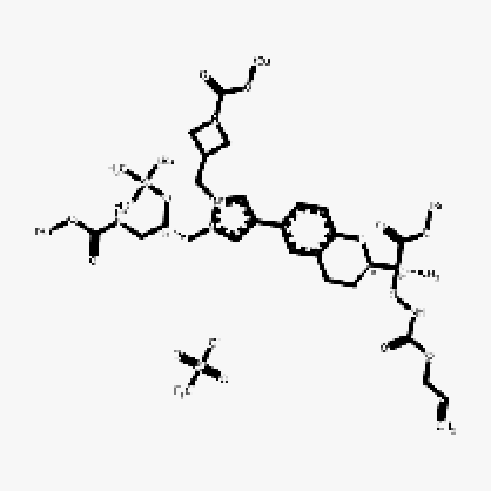 C=CCOC(=O)NO[C@](C)(C(=O)OC(C)(C)C)[C@H]1CCc2cc(-c3cn(C[C@H](CNC(=O)OC(C)(C)C)O[Si](C)(C)C(C)(C)C)[n+](CC4CN(C(=O)OC(C)(C)C)C4)c3)ccc2O1.O=S(=O)([O-])C(F)(F)F